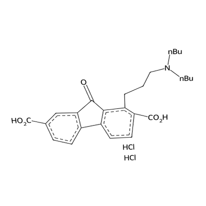 CCCCN(CCCC)CCCc1c(C(=O)O)ccc2c1C(=O)c1cc(C(=O)O)ccc1-2.Cl.Cl